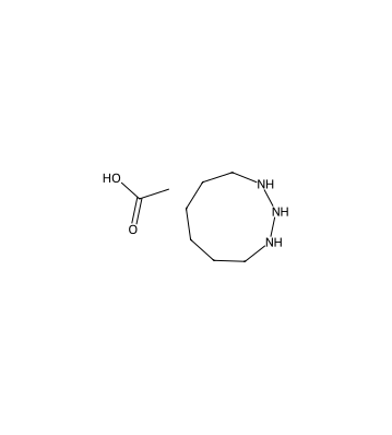 C1CCCNNNCC1.CC(=O)O